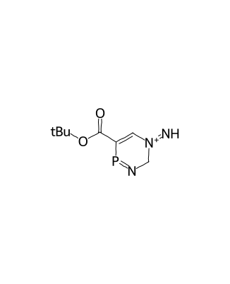 CC(C)(C)OC(=O)C1=C[N+](=N)CN=P1